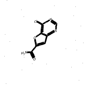 NC(=O)c1cc2ncnc(Cl)c2o1